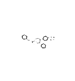 CS(=O)(=O)Oc1ccc([C@H]2CCN(C(=O)OCc3ccccc3)C[C@@H]2c2ccccc2)cc1